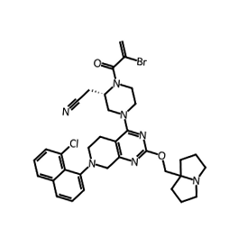 C=C(Br)C(=O)N1CCN(c2nc(OCC34CCCN3CCC4)nc3c2CCN(c2cccc4cccc(Cl)c24)C3)C[C@@H]1CC#N